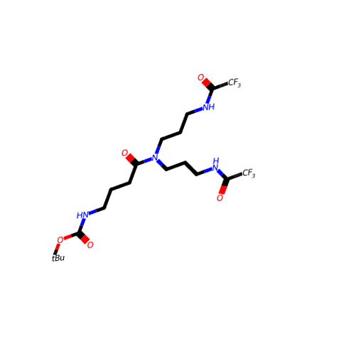 CC(C)(C)OC(=O)NCCCC(=O)N(CCCNC(=O)C(F)(F)F)CCCNC(=O)C(F)(F)F